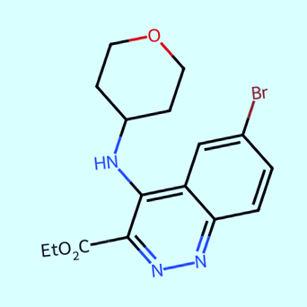 CCOC(=O)c1nnc2ccc(Br)cc2c1NC1CCOCC1